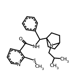 CSc1ncccc1C(=O)NC(c1ccccc1)C12CCC(CC1)N2CC(C)C